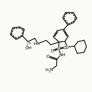 NCC(=O)NS(=O)(=O)C1(CCNC[C@H](O)c2ccccc2)C=CC(c2ccccc2)=CC1OC1CCCCC1